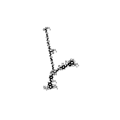 C/C(=C\c1ccc(C(=O)NCCCC[C@@H](NC(=O)c2ccc(/C=C(\C)c3ccc4c(c3)C(C)(C)CCC4(C)C)cc2)C(=O)NCCCOCCOCCOCCCC(COCCOCCOCCOCCOCCC(N)=O)C(N)=O)cc1)c1ccc2c(c1)C(C)(C)CCC2(C)C